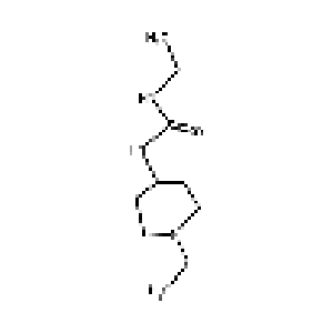 CCNC(=O)NC1CCN(CC)CC1